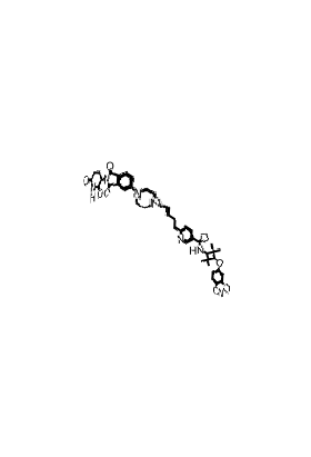 CC1(C)C(NC(=O)c2ccc(CCCCN3CCN(c4ccc5c(c4)C(=O)N(C4CCC(=O)NC4=O)C5=O)CC3)nc2)C(C)(C)C1Oc1ccc(C#N)c(Cl)c1